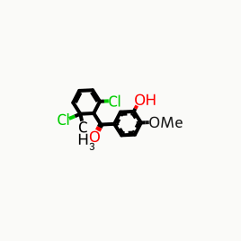 COc1ccc(C(=O)C2C(Cl)=CC=CC2(C)Cl)cc1O